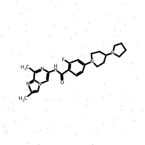 Cc1cn2cc(NC(=O)c3ccc(N4CCC(N5CCCC5)CC4)cc3F)nc(C)c2n1